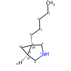 CCCCC[C@]12CNC[C@H]1C2